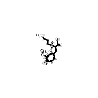 CCCCS(=O)(=O)/C(=C\c1ccc(O)c(OC)c1)C(=O)O